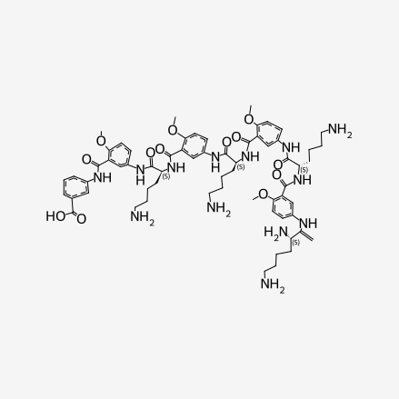 C=C(Nc1ccc(OC)c(C(=O)N[C@@H](CCCCN)C(=O)Nc2ccc(OC)c(C(=O)N[C@@H](CCCCN)C(=O)Nc3ccc(OC)c(C(=O)N[C@@H](CCCCN)C(=O)Nc4ccc(OC)c(C(=O)Nc5cccc(C(=O)O)c5)c4)c3)c2)c1)[C@@H](N)CCCCN